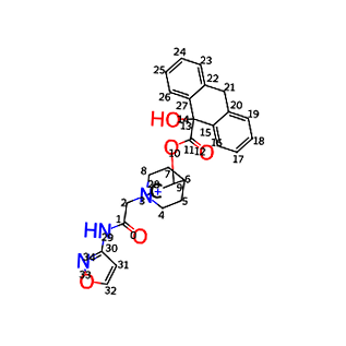 O=C(C[N+]12CCC(CC1)C(OC(=O)C1(O)c3ccccc3Cc3ccccc31)C2)Nc1ccon1